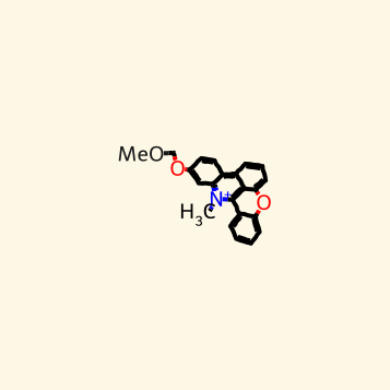 COCOc1ccc2c3cccc4c3c([n+](C)c2c1)-c1ccccc1O4